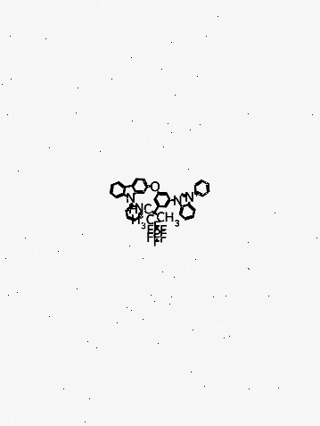 CC(C)(C)c1cc(Oc2ccc3c4ccccc4n(-c4ccccn4)c3c2)cc(-n2c[n+](-c3ccccc3)c3ccccc32)c1.F[P-](F)(F)(F)(F)F